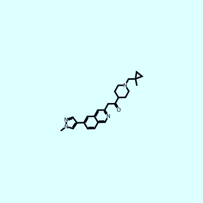 Cn1cc(-c2ccc3cnc(CC(=O)C4CCN(CC5(C)CC5)CC4)cc3c2)cn1